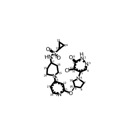 O=c1[nH]ncc(N2CC[C@@H](Oc3cc(N4CCC(NS(=O)(=O)C5CC5)CC4)ccn3)C2)c1Cl